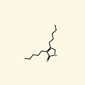 CCCCCC1=C(CCCCC)C(=O)NC1